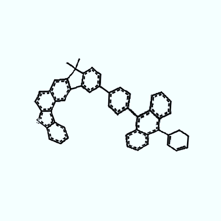 CC1(C)c2ccc(-c3ccc(-c4c5ccccc5c(C5=CC=CCC5)c5ccccc45)cc3)cc2-c2cc3c(ccc4sc5ccccc5c43)cc21